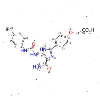 CC(C)c1ccc(NC(=O)Nc2[nH]c(-c3ccc(OCC(=O)O)cc3)nc2C(N)=O)cc1